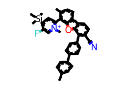 Cc1ccc(-c2ccc(-c3c(C#N)ccc4c3oc3c(-c5cc([Si](C)(C)C)c(F)c[n+]5C)c(C)ccc34)cc2)cc1